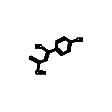 CC(C)COC(=O)C=C(C#N)c1ccc(C#N)cc1